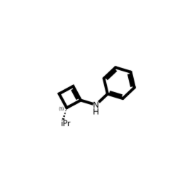 CC(C)[C@@H]1CC=C1Nc1ccccc1